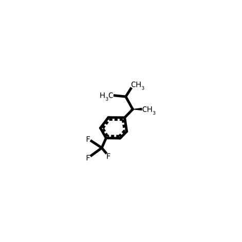 CC(C)[C@@H](C)c1ccc(C(F)(F)F)cc1